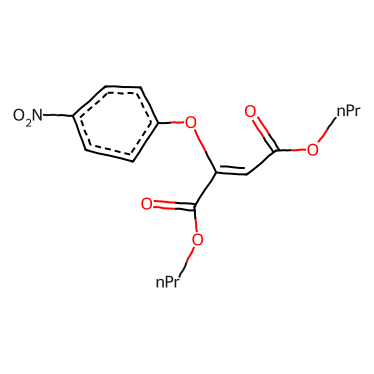 CCCOC(=O)/C=C(\Oc1ccc([N+](=O)[O-])cc1)C(=O)OCCC